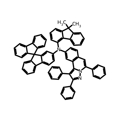 CC1(C)c2ccccc2-c2c(N(c3ccc4c(c3)C3(c5ccccc5-c5ccccc53)c3ccccc3-4)c3ccc4cc(-c5ccccc5)n5nc(-c6ccccc6)c(-c6ccccc6)c5c4c3)cccc21